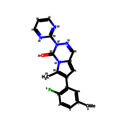 COc1ccc(F)c(-c2cc3cnn(-c4ncccn4)c(=O)n3c2C)c1